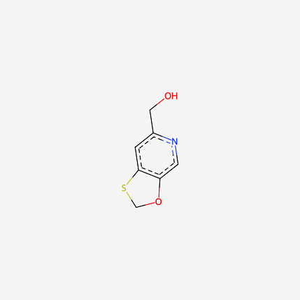 OCc1cc2c(cn1)OCS2